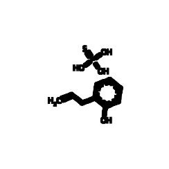 C=CCc1ccccc1O.OP(O)(O)=S